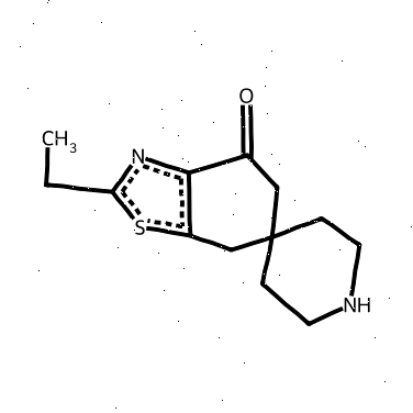 CCc1nc2c(s1)CC1(CCNCC1)CC2=O